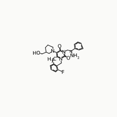 Cc1c(N2CCCC(CO)C2)c(=O)n(C[C@H](N)c2ccccc2)c(=O)n1Cc1c(F)cccc1F